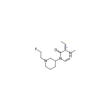 C=CN(C(=O)/C(=C\C)NC)C1CCCN(CCF)C1